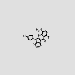 Nc1ccc(F)c(C(=O)c2cn(-c3ccc(Cl)cc3)c3ncccc23)c1F